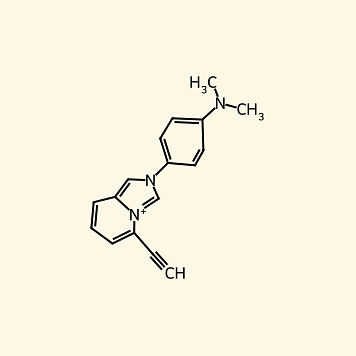 C#Cc1cccc2cn(-c3ccc(N(C)C)cc3)c[n+]12